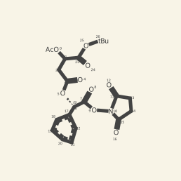 CC(=O)OC(CC(=O)O[C@H](C(=O)ON1C(=O)CCC1=O)c1ccccc1)C(=O)OC(C)(C)C